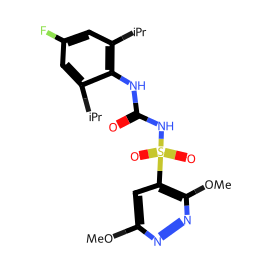 COc1cc(S(=O)(=O)NC(=O)Nc2c(C(C)C)cc(F)cc2C(C)C)c(OC)nn1